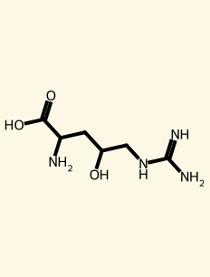 N=C(N)NCC(O)CC(N)C(=O)O